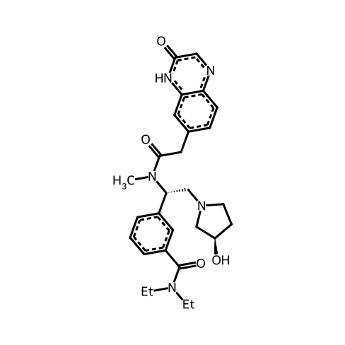 CCN(CC)C(=O)c1cccc([C@@H](CN2CC[C@@H](O)C2)N(C)C(=O)Cc2ccc3ncc(=O)[nH]c3c2)c1